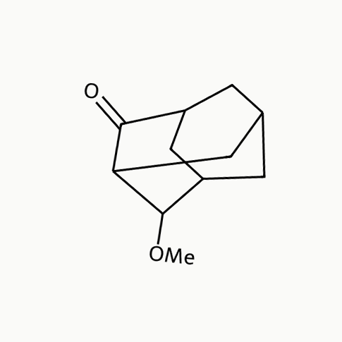 [CH2]OC1C2CC3CC(C2)C(=O)C1C3